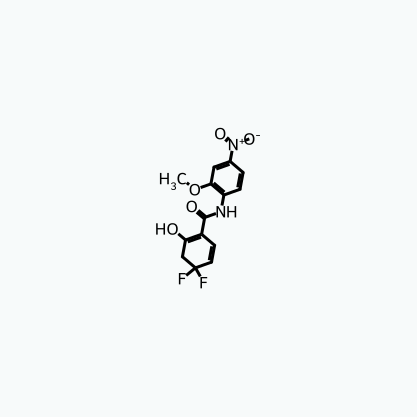 COc1cc([N+](=O)[O-])ccc1NC(=O)C1=C(O)CC(F)(F)C=C1